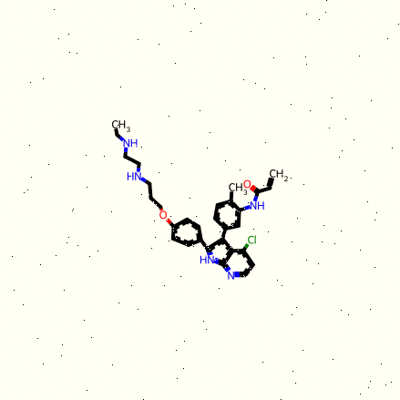 C=CC(=O)Nc1cc(-c2c(-c3ccc(OCCCNCCNCC)cc3)[nH]c3nccc(Cl)c23)ccc1C